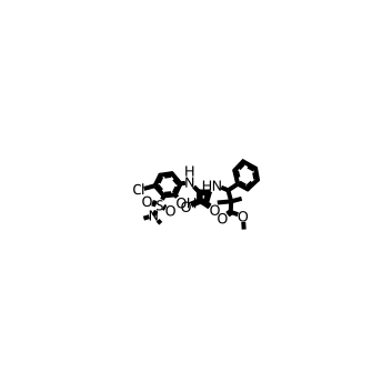 COC(=O)C(C)(C)C(Nc1c(Nc2ccc(Cl)c(S(=O)(=O)N(C)C)c2O)c(=O)c1=O)c1ccccc1